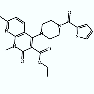 CCOC(=O)c1c(N2CCN(C(=O)c3cccs3)CC2)c2ccc(C)nc2n(C)c1=O